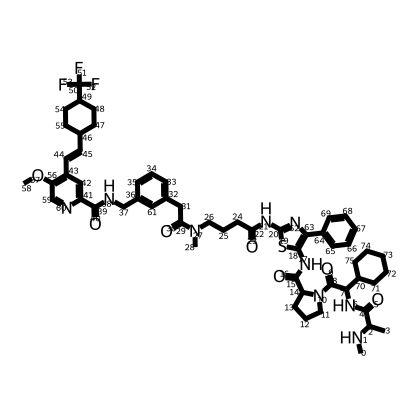 CNC(C)C(=O)NC(C(=O)N1CCCC1C(=O)Nc1sc(NC(=O)CCCN(C)C(=O)Cc2cccc(CNC(=O)c3cc(C=CC4CCC(C(F)(F)F)CC4)c(OC)cn3)c2)nc1-c1ccccc1)C1CCCCC1